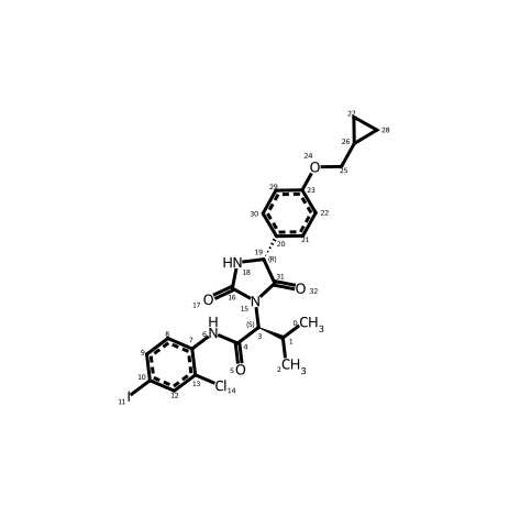 CC(C)[C@@H](C(=O)Nc1ccc(I)cc1Cl)N1C(=O)N[C@H](c2ccc(OCC3CC3)cc2)C1=O